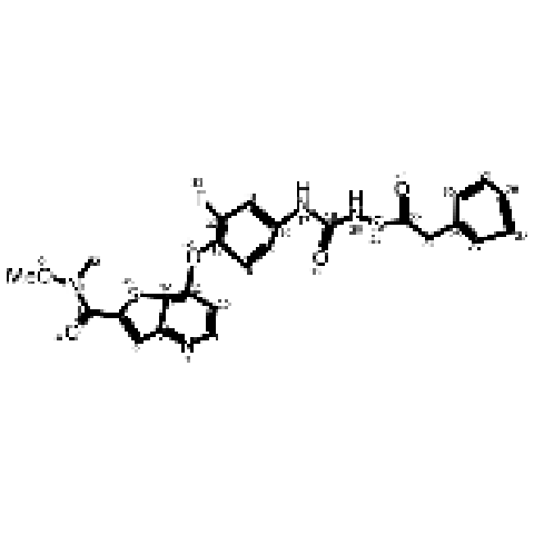 CON(C)C(=O)c1cc2nccc(Oc3ccc(NC(=O)NSC(=O)Cc4ccccc4)cc3F)c2s1